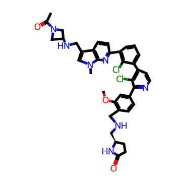 COc1cc(-c2nccc(-c3cccc(-c4ccc5c(CNC6CN(C(C)=O)C6)cn(C)c5n4)c3Cl)c2Cl)ccc1CNC[C@H]1CCC(=O)N1